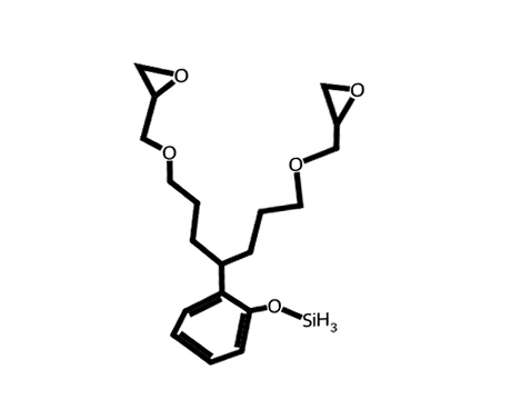 [SiH3]Oc1ccccc1C(CCCOCC1CO1)CCCOCC1CO1